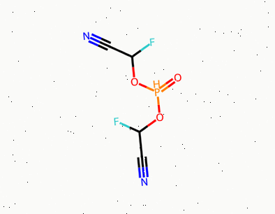 N#CC(F)O[PH](=O)OC(F)C#N